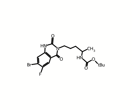 CC(CCCn1c(=O)[nH]c2cc(Br)c(F)cc2c1=O)NC(=O)OC(C)(C)C